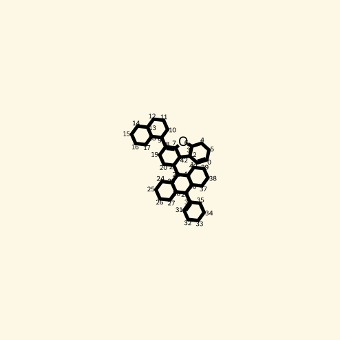 C1=CC2C(CC1)OC1=C(C3CCCC4CCCCC43)CCC(C3C4CCCCC4C(C4=CCCCC4)C4CCCCC43)C12